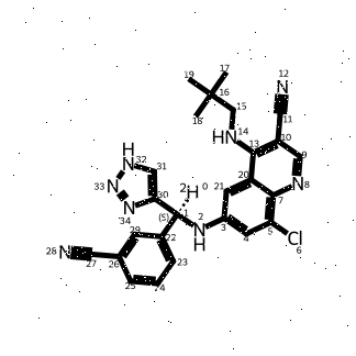 [2H][C@](Nc1cc(Cl)c2ncc(C#N)c(NCC(C)(C)C)c2c1)(c1cccc(C#N)c1)c1c[nH]nn1